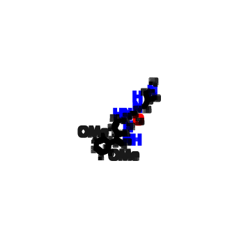 COc1cccc(OC)c1-c1c[nH]c2nc(NC(=O)NCC3CN(C)C3)ccc12